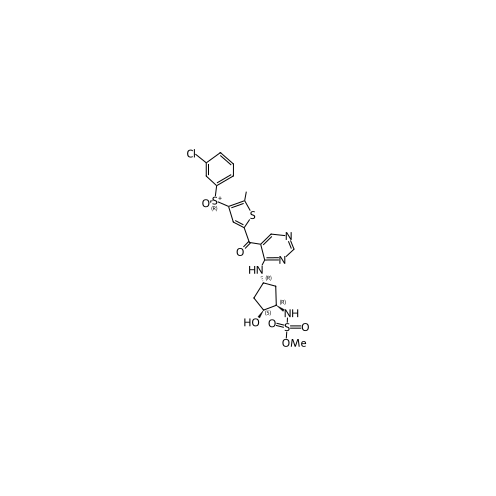 COS(=O)(=O)N[C@@H]1C[C@@H](Nc2ncncc2C(=O)c2cc([S@@+]([O-])c3cccc(Cl)c3)c(C)s2)C[C@@H]1O